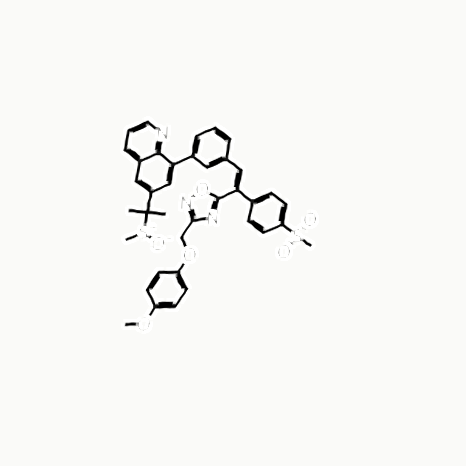 COc1ccc(OCc2noc(C(=Cc3cccc(-c4cc(C(C)(C)[S+](C)[O-])cc5cccnc45)c3)c3ccc(S(C)(=O)=O)cc3)n2)cc1